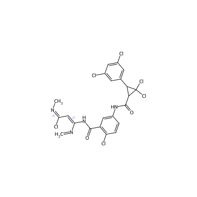 C=N/C(=C\C(Cl)=N/C)NC(=O)c1cc(NC(=O)C2C(c3cc(Cl)cc(Cl)c3)C2(Cl)Cl)ccc1Cl